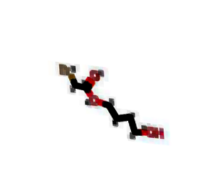 O=C(CBr)OCCCCO